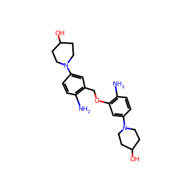 Nc1ccc(N2CCC(O)CC2)cc1COc1cc(N2CCC(O)CC2)ccc1N